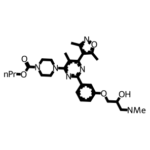 CCCOC(=O)N1CCN(c2nc(-c3cccc(OCC(O)CNC)c3)nc(-c3c(C)noc3C)c2C)CC1